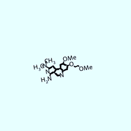 COCCOc1cc2ncc3c(N)nc(N(C)C)cc3c2cc1OC